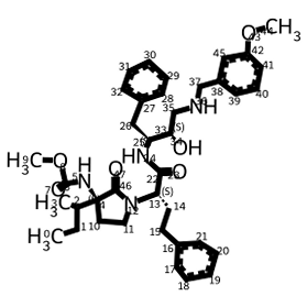 CCC(C)[C@@]1(NC(=O)OC)CCN([C@@H](CCc2ccccc2)C(=O)N[C@@H](Cc2ccccc2)[C@@H](O)CNCc2cccc(OC)c2)C1=O